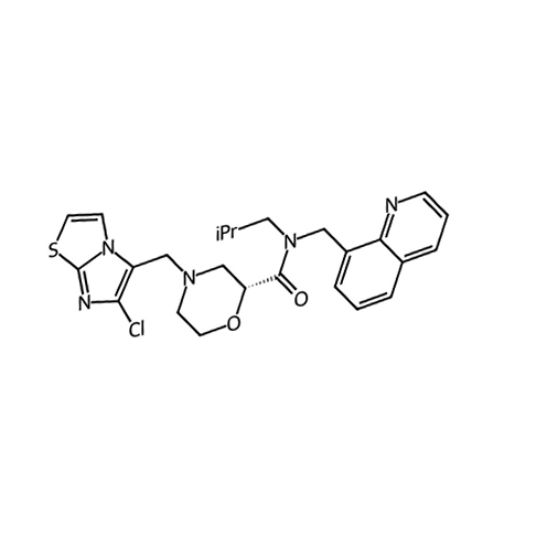 CC(C)CN(Cc1cccc2cccnc12)C(=O)[C@H]1CN(Cc2c(Cl)nc3sccn23)CCO1